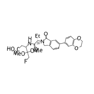 CC[C@@H](C(=O)NC(CC(=O)O)C(CF)(OC)OC)N1Cc2ccc(-c3ccc4c(c3)OCCO4)cc2C1=O